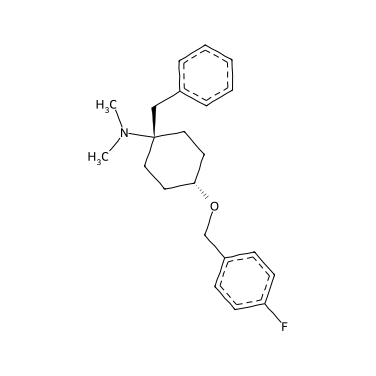 CN(C)[C@]1(Cc2ccccc2)CC[C@H](OCc2ccc(F)cc2)CC1